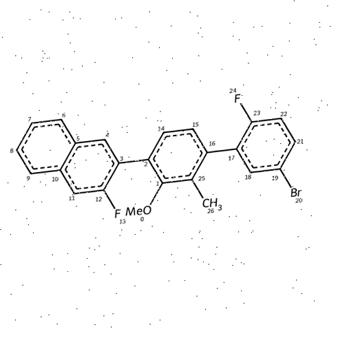 COc1c(-c2cc3ccccc3cc2F)ccc(-c2cc(Br)ccc2F)c1C